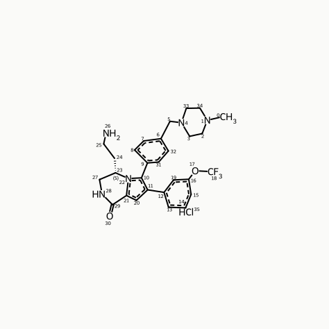 CN1CCN(Cc2ccc(-c3c(-c4cccc(OC(F)(F)F)c4)cc4n3[C@@H](CCN)CNC4=O)cc2)CC1.Cl